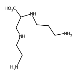 NCCCNC(CNCCN)C(=O)O